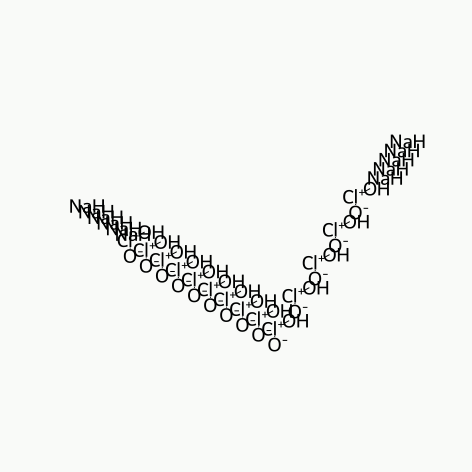 [NaH].[NaH].[NaH].[NaH].[NaH].[NaH].[NaH].[NaH].[NaH].[NaH].[NaH].[O-][Cl+]O.[O-][Cl+]O.[O-][Cl+]O.[O-][Cl+]O.[O-][Cl+]O.[O-][Cl+]O.[O-][Cl+]O.[O-][Cl+]O.[O-][Cl+]O.[O-][Cl+]O.[O-][Cl+]O.[O-][Cl+]O.[O-][Cl+]O.[O-][Cl+]O